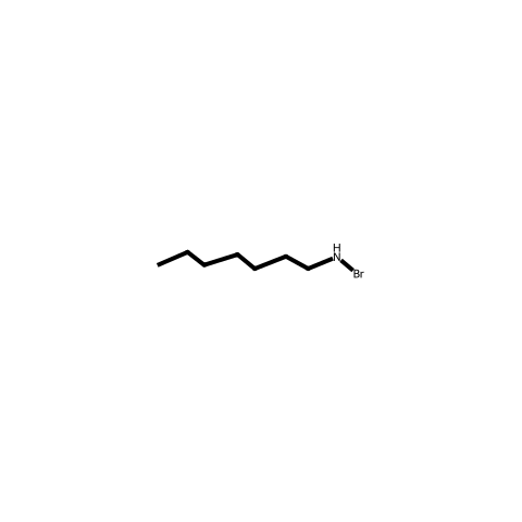 CCCCCCCNBr